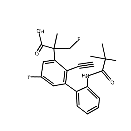 C#Cc1c(-c2ccccc2NC(=O)C(C)(C)C)cc(F)cc1C(C)(CF)C(=O)O